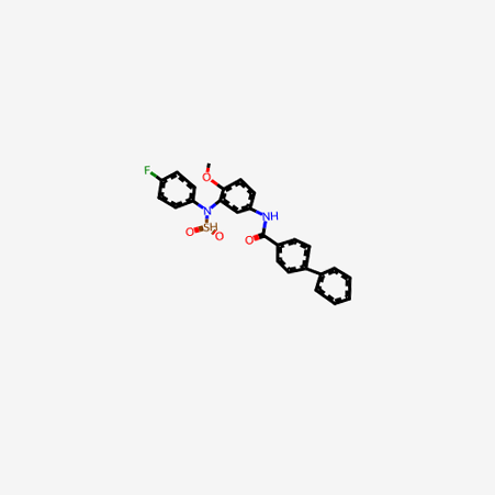 COc1ccc(NC(=O)c2ccc(-c3ccccc3)cc2)cc1N(c1ccc(F)cc1)[SH](=O)=O